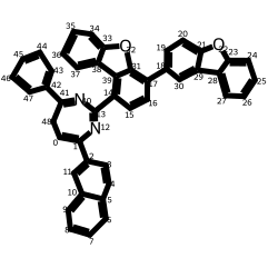 C1=C(c2ccc3ccccc3c2)N=C(c2ccc(-c3ccc4oc5ccccc5c4c3)c3oc4ccccc4c23)N=C(c2ccccc2)C1